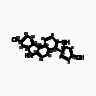 Oc1ccc2c(c1)[nH]c1ccc3c(ccc4[nH]c5cc(Cl)ccc5c43)c12